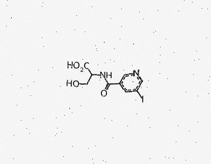 O=C(NC(CO)C(=O)O)c1cncc(I)c1